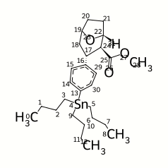 CCC[CH2][Sn]([CH2]CCC)([CH2]CCC)[c]1ccc([C@@H]2CC3CC[C@@H](O3)[C@H]2C(=O)OC)cc1